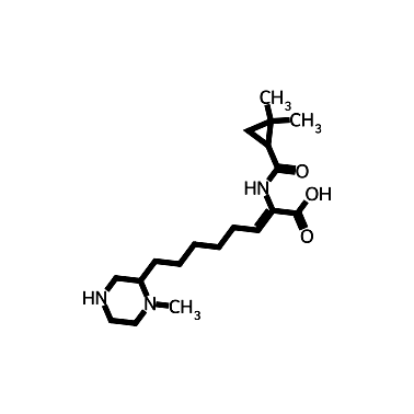 CN1CCNCC1CCCCC/C=C(\NC(=O)C1CC1(C)C)C(=O)O